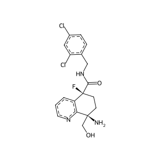 N[C@]1(CO)CC[C@@](F)(C(=O)NCc2ccc(Cl)cc2Cl)c2cccnc21